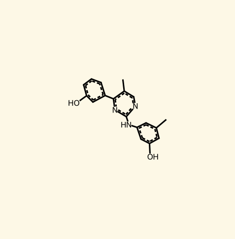 Cc1cc(O)cc(Nc2ncc(C)c(-c3cccc(O)c3)n2)c1